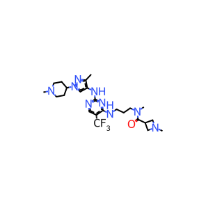 Cc1nn(C2CCN(C)CC2)cc1Nc1ncc(C(F)(F)F)c(NCCCN(C)C(=O)C2CN(C)C2)n1